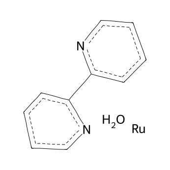 O.[Ru].c1ccc(-c2ccccn2)nc1